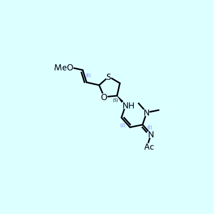 CO/C=C/C1O[C@H](N/C=C\C(=N/C(C)=O)N(C)C)CS1